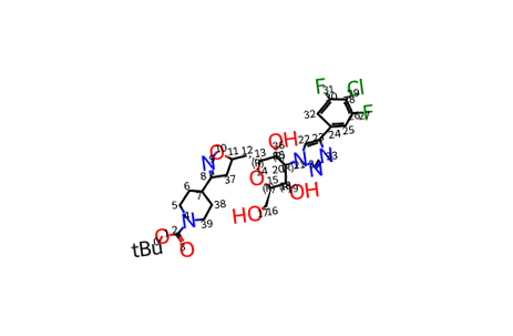 CC(C)(C)OC(=O)N1CCC(C2=NOC(C[C@H]3O[C@H](CO)[C@H](O)[C@H](n4cc(-c5cc(F)c(Cl)c(F)c5)nn4)[C@H]3O)C2)CC1